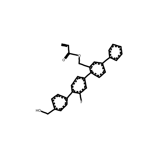 C=CC(=O)OCc1cc(-c2ccccc2)ccc1-c1ccc(-c2ccc(CO)cc2)c(F)c1